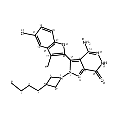 CCCCC1CN(n2nc3c(=O)[nH]nc(N)c3c2-c2oc3ccc(Cl)cc3c2C)C1